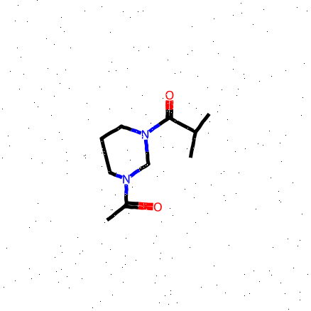 CC(=O)N1CCCN(C(=O)C(C)C)C1